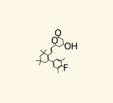 Cc1cc(C2=C(C=CC3CC(O)CC(=O)O3)C(C)(C)CC(C)(C)C2)cc(C)c1F